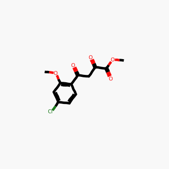 COC(=O)C(=O)CC(=O)c1ccc(Cl)cc1OC